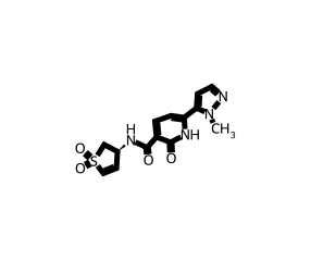 Cn1nccc1-c1ccc(C(=O)N[C@@H]2C=CS(=O)(=O)C2)c(=O)[nH]1